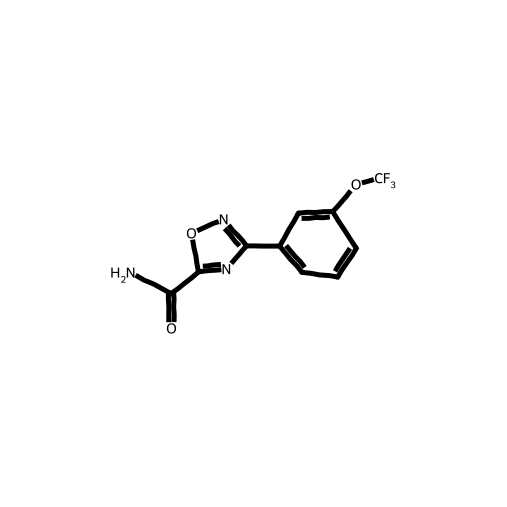 NC(=O)c1nc(-c2cccc(OC(F)(F)F)c2)no1